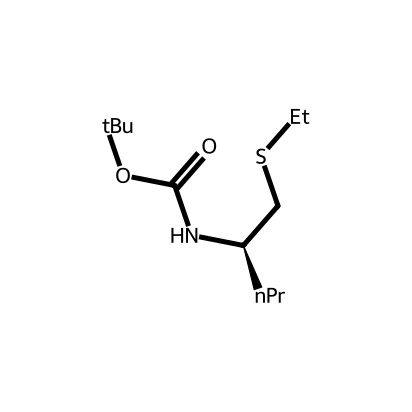 CCC[C@H](CSCC)NC(=O)OC(C)(C)C